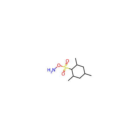 CC1CC(C)C(S(=O)(=O)ON)C(C)C1